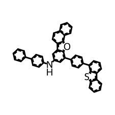 c1ccc(-c2ccc(Nc3cc(-c4ccc(-c5cccc6c5sc5ccccc56)cc4)c4oc5c6ccccc6ccc5c4c3)cc2)cc1